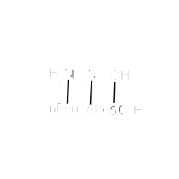 CCCCCN.CCCCCN.O=S(=O)(O)O